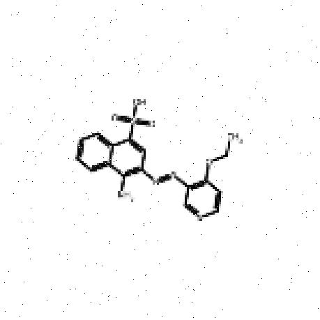 CCOc1ccncc1/N=N/c1cc(S(=O)(=O)O)c2ccccc2c1N